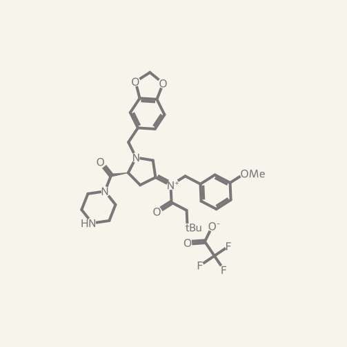 COc1cccc(C/[N+](C(=O)CC(C)(C)C)=C2/C[C@@H](C(=O)N3CCNCC3)N(Cc3ccc4c(c3)OCO4)C2)c1.O=C([O-])C(F)(F)F